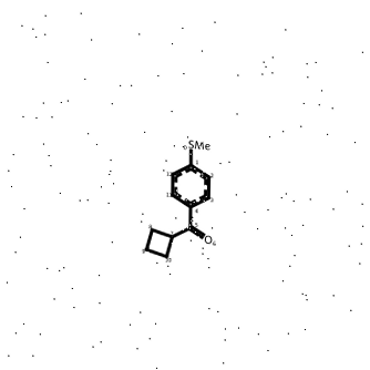 CSc1ccc(C(=O)C2CCC2)cc1